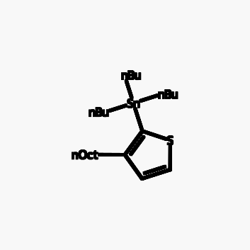 CCCCCCCCc1ccs[c]1[Sn]([CH2]CCC)([CH2]CCC)[CH2]CCC